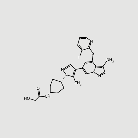 Cc1c(-c2cc(Sc3ncccc3F)c3c(N)cnn3c2)cnn1[C@H]1CC[C@@H](NC(=O)CO)CC1